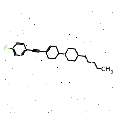 CCCCCC1CCC(C2CC=C(C#Cc3ccc(F)cc3)CC2)CC1